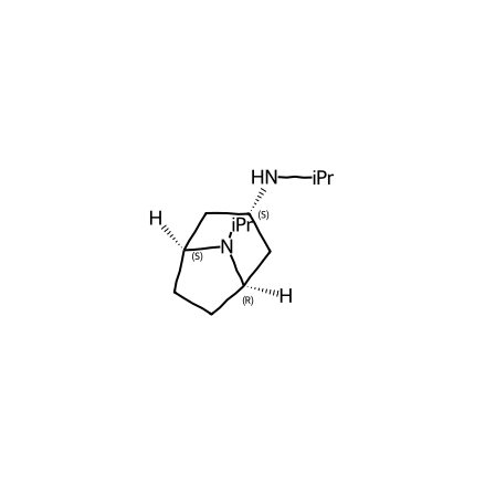 CC(C)N[C@@H]1C[C@H]2CC[C@@H](C1)N2C(C)C